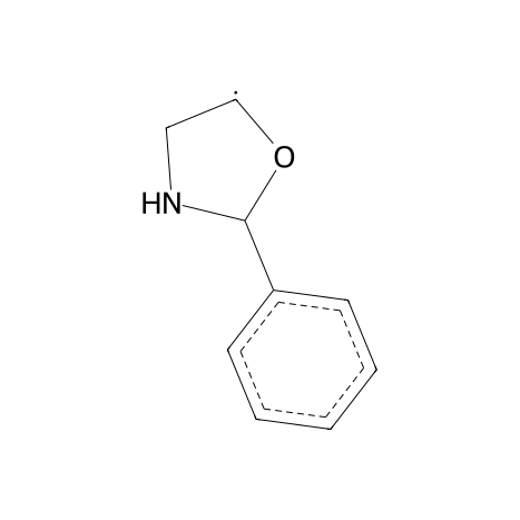 [CH]1CNC(c2ccccc2)O1